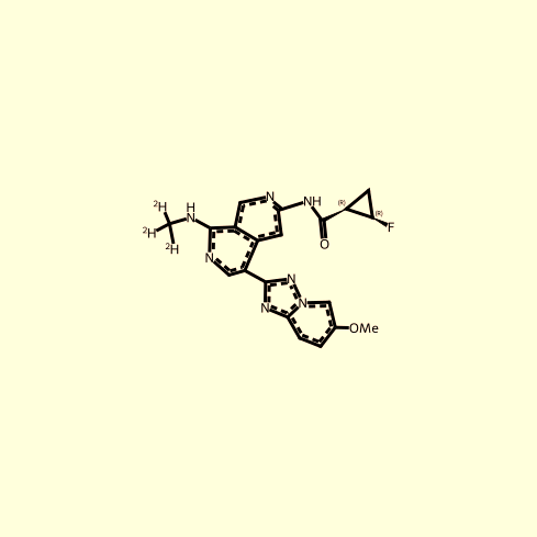 [2H]C([2H])([2H])Nc1ncc(-c2nc3ccc(OC)cn3n2)c2cc(NC(=O)[C@H]3C[C@H]3F)ncc12